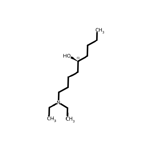 CCCC[C@H](O)CCCCN(CC)CC